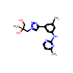 Cc1cc(Nc2nccc(C)n2)cc(-c2cn(C[C@](C)(O)CO)nn2)c1